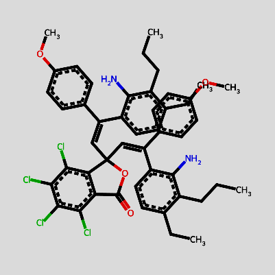 CCCc1c(CC)ccc(C(=CC2(C=C(c3ccc(OC)cc3)c3ccc(CC)c(CCC)c3N)OC(=O)c3c(Cl)c(Cl)c(Cl)c(Cl)c32)c2ccc(OC)cc2)c1N